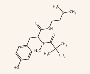 CN(C)CCNC(=O)C(Cc1ccc(O)cc1)N(C)C(=O)C(C)(C)C